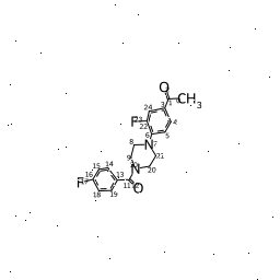 CC(=O)c1ccc(N2CCN(C(=O)c3ccc(F)cc3)CC2)c(F)c1